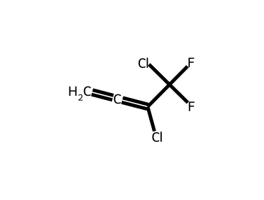 C=C=C(Cl)C(F)(F)Cl